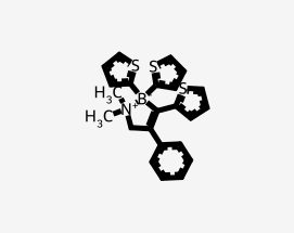 C[N+]1(C)CC(c2ccccc2)=C(c2cccs2)[B-]1(c1cccs1)c1cccs1